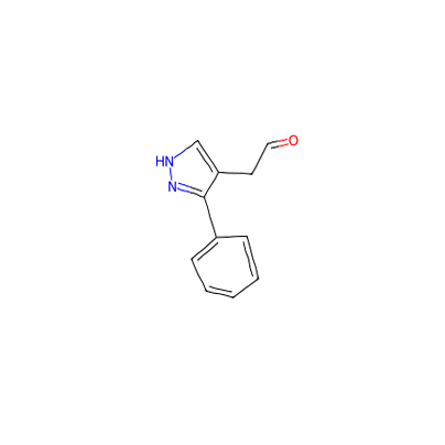 O=CCc1c[nH]nc1-c1ccccc1